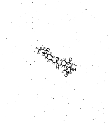 CCN(C(=O)c1ccc(NC(=O)Cc2ccc(S(=O)(=O)CC3CC3)cc2)cc1)C(NC)SC(C)N=O